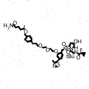 Cc1ncsc1-c1ccc(CNC(=O)[C@@H]2C[C@@H](O)CN2C(=O)[C@@H](NC(=O)C2(F)CC2)C(C)(C)C)c(OCCOCCOCCCc2ccc(CO[C@H](C)CCCC(N)=O)cc2)c1